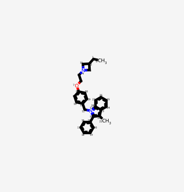 CCC1CN(CCOc2ccc(Cn3c(-c4ccccc4)c(C)c4ccccc43)cc2)C1